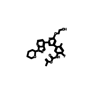 C=C(C)OC(=O)Nc1cc(-c2cc(OCCO)nc(-c3ccnc4c3cnn4C3CCCCO3)c2)c(C)cc1F